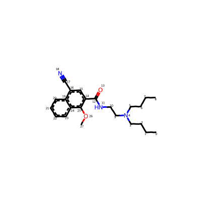 CCCCN(CCCC)CCNC(=O)c1cc(C#N)c2ccccc2c1OC